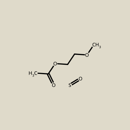 COCCOC(C)=O.O=S